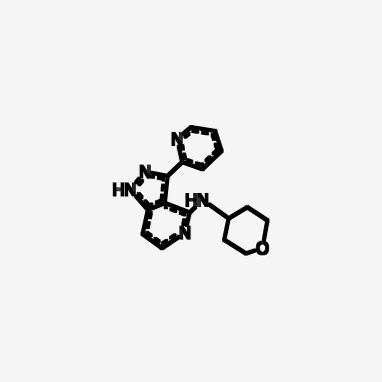 c1ccc(-c2n[nH]c3ccnc(NC4CCOCC4)c23)nc1